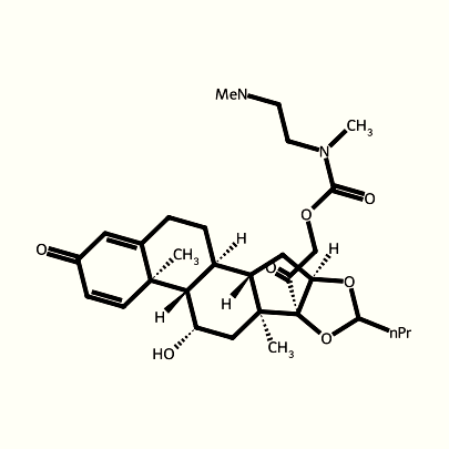 CCCC1O[C@@H]2C[C@H]3[C@@H]4CCC5=CC(=O)C=C[C@]5(C)[C@H]4[C@@H](O)C[C@]3(C)[C@]2(C(=O)COC(=O)N(C)CCNC)O1